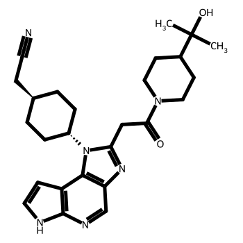 CC(C)(O)C1CCN(C(=O)Cc2nc3cnc4[nH]ccc4c3n2[C@H]2CC[C@H](CC#N)CC2)CC1